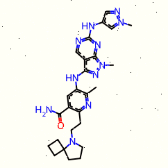 Cc1nc(CCN2CCCC23CCC3)c(C(N)=O)cc1Nc1nn(C)c2nc(Nc3cnn(C)c3)ncc12